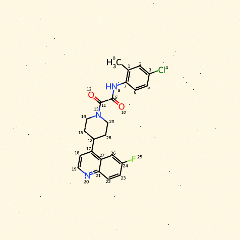 Cc1cc(Cl)ccc1NC(=O)C(=O)N1CCC(c2ccnc3ccc(F)cc23)CC1